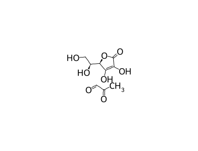 CC(=O)C=O.O=C1O[C@H]([C@@H](O)CO)C(O)=C1O